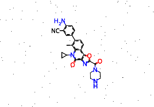 Cc1c(-c2ccc(N)c(C#N)c2)ccc2c3oc(C(=O)N4CCNCC4)nc3c(=O)n(C3CC3)c12